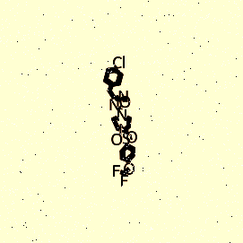 O=S(=O)(c1ccc(OC(F)F)cc1)N1CCN(c2nc(Cc3ccc(Cl)cc3)no2)CC1